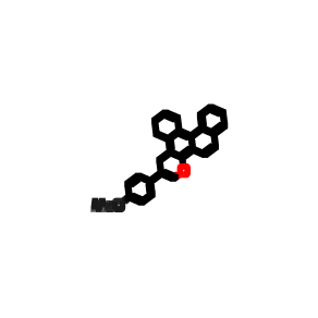 COc1ccc(C2=COc3c(c4c(c5c3ccc3ccccc35)C=CCC4)C2)cc1